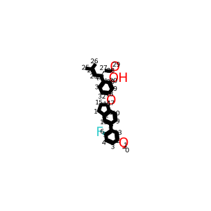 COc1ccc(F)c(-c2ccc3c(c2)CCC3Oc2ccc([C@H](C=C(C)C)CC(=O)O)cc2)c1